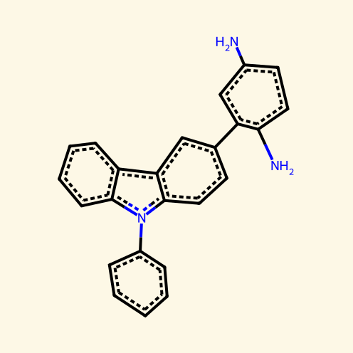 Nc1ccc(N)c(-c2ccc3c(c2)c2ccccc2n3-c2ccccc2)c1